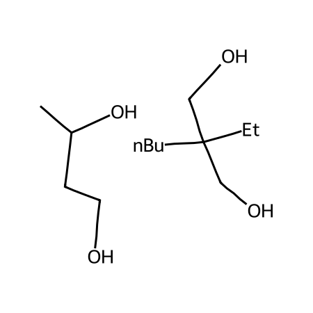 CC(O)CCO.CCCCC(CC)(CO)CO